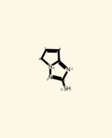 Sc1nc2n(n1)CC=C2